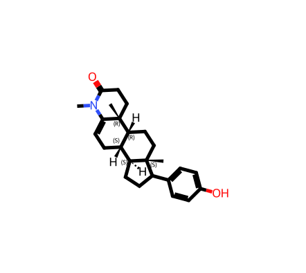 CN1C(=O)CC[C@@]2(C)C1=CC[C@@H]1[C@H]2CC[C@]2(C)C(c3ccc(O)cc3)CC[C@@H]12